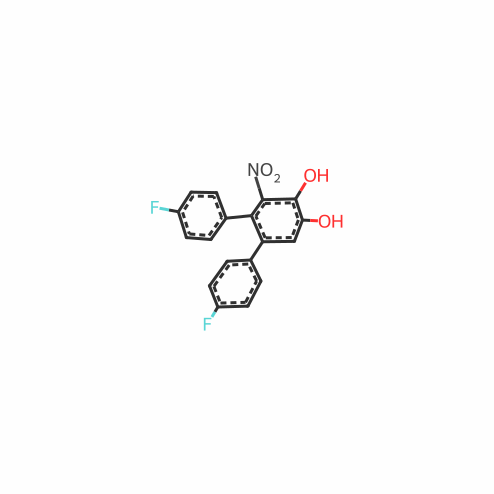 O=[N+]([O-])c1c(O)c(O)cc(-c2ccc(F)cc2)c1-c1ccc(F)cc1